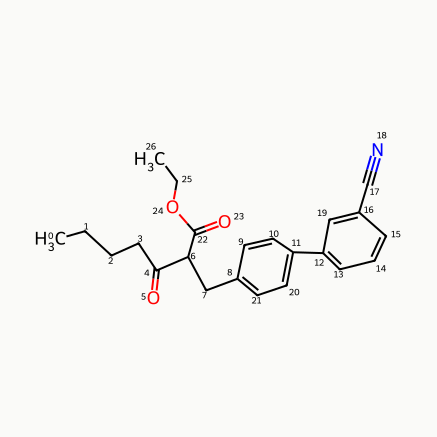 CCCCC(=O)C(Cc1ccc(-c2cccc(C#N)c2)cc1)C(=O)OCC